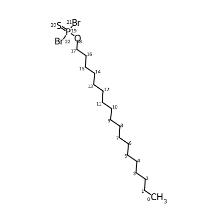 CCCCCCCCCCCCCCCCCCOP(=S)(Br)Br